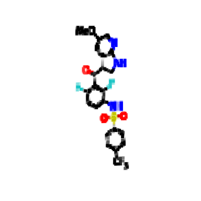 COc1cnc2c(c1)C(C(=O)c1c(F)ccc(NS(=O)(=O)c3ccc(C(F)(F)F)cc3)c1F)CN2